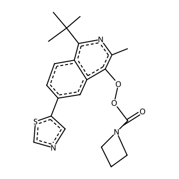 Cc1nc(C(C)(C)C)c2ccc(-c3cncs3)cc2c1OOC(=O)N1CCC1